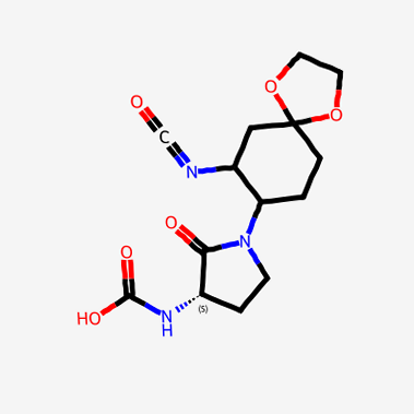 O=C=NC1CC2(CCC1N1CC[C@H](NC(=O)O)C1=O)OCCO2